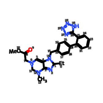 CCC1N=C2C(=CN(CC(=O)OC)CN2C)N1Cc1ccc(-c2ccccc2-c2nnn[nH]2)cc1